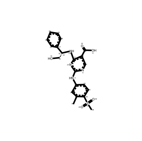 Cc1cc(Nc2ncc(C(=O)O)c(N[C@H](CO)c3ccccc3)n2)ccc1S(C)(=O)=O